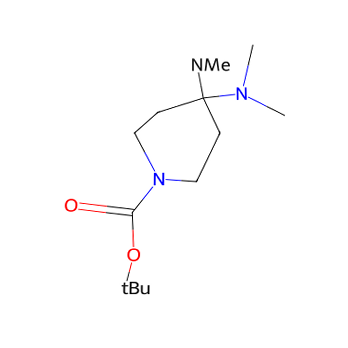 CNC1(N(C)C)CCN(C(=O)OC(C)(C)C)CC1